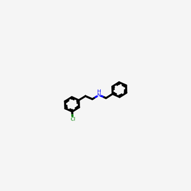 Clc1cccc([CH]CNCc2ccccc2)c1